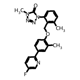 Cc1cc(-c2ccc(F)cn2)ccc1OCc1c(C)cccc1-n1nnn(C)c1=O